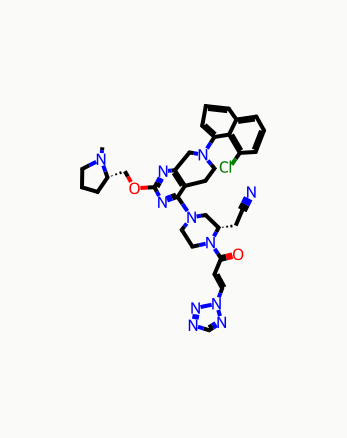 CN1CCC[C@H]1COc1nc2c(c(N3CCN(C(=O)/C=C/n4ncnn4)[C@@H](CC#N)C3)n1)CCN(c1cccc3cccc(Cl)c13)C2